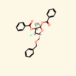 C[C@]1(OC(=O)c2ccccc2)C(OC(=O)c2ccccc2)O[C@H](COCc2ccccc2)[C@@H]1F